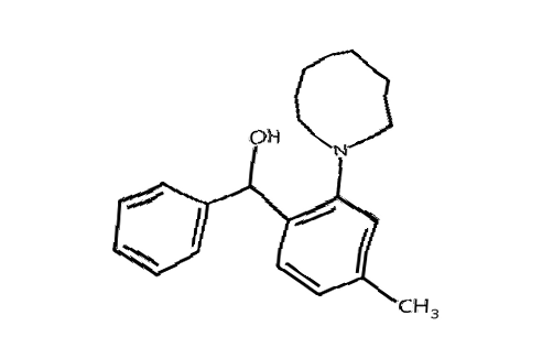 Cc1ccc(C(O)c2ccccc2)c(N2CCCCC2)c1